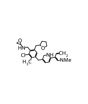 C=C/C(=C\NC)C1=CC=C(Cc2cc(CC3CCCO3)c(CNC3CO3)c(Cl)c2C)CN1